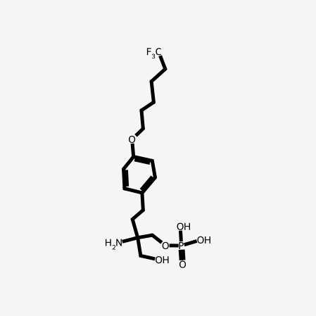 NC(CO)(CCc1ccc(OCCCCCC(F)(F)F)cc1)COP(=O)(O)O